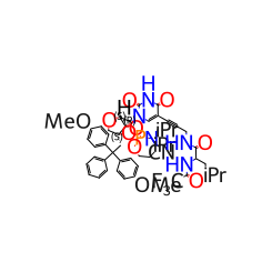 COc1ccc(C(C[C@]23CO[C@@H](C2OP(OCCC#N)N(C(C)C)C(C)C)[C@H](n2cc(C#CCNC(=O)C(CC(C)C)NC(=O)C(F)(F)F)c(=O)[nH]c2=O)O3)(c2ccccc2)c2ccc(OC)cc2)cc1